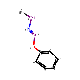 CC(C)PN=POc1ccccc1